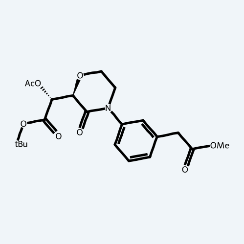 COC(=O)Cc1cccc(N2CCO[C@H]([C@@H](OC(C)=O)C(=O)OC(C)(C)C)C2=O)c1